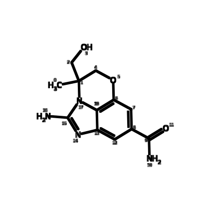 CC1(CO)COc2cc(C(N)=O)cc3nc(N)n1c23